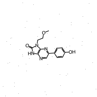 COCCn1c(=O)[nH]c2ncc(-c3ccc(O)cc3)nc21